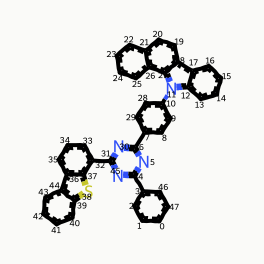 c1ccc(-c2nc(-c3ccc(-n4c5ccccc5c5ccc6ccccc6c54)cc3)nc(-c3cccc4c3sc3ccccc34)n2)cc1